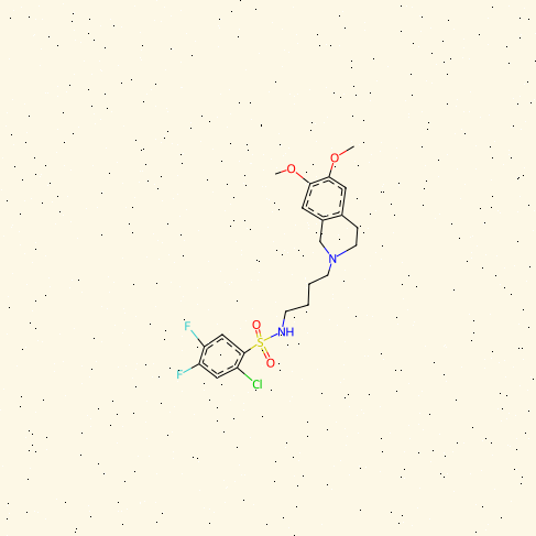 COc1cc2c(cc1OC)CN(CCCCNS(=O)(=O)c1cc(F)c(F)cc1Cl)CC2